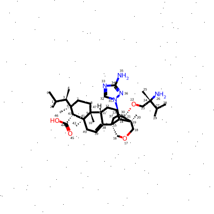 CC(C)[C@@H](C)[C@@]1(C)CC[C@]2(C)[C@H]3CC[C@@H]4[C@@]5(COC[C@]4(C)[C@@H](OC[C@](C)(N)C(C)C)[C@H](n4cnc(N)n4)C5)C3=CC[C@@]2(C)[C@@H]1C(=O)O